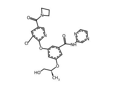 C[C@@H](CO)Oc1cc(Oc2ncc(C(=O)N3CCC3)cc2Cl)cc(C(=O)Nc2cnccn2)c1